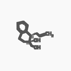 C=CC[C@H]1c2ccccc2CC[C@]1(O)CO